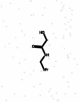 CCCCNC(=O)[CH]O